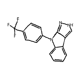 FC(F)(F)c1ccc(-n2c3ccccc3c3c[nH]nc32)cc1